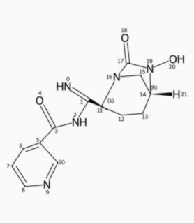 N=C(NC(=O)c1cccnc1)[C@@H]1CC[C@@H]2CN1C(=O)N2O